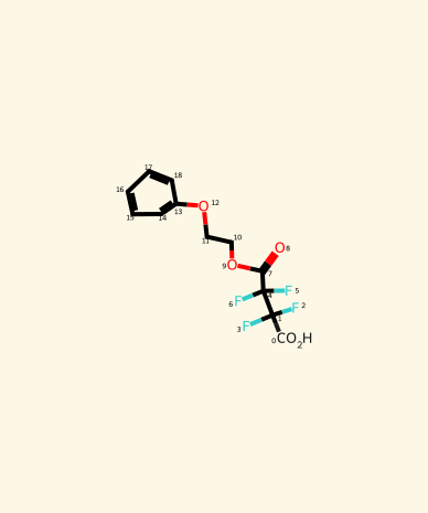 O=C(O)C(F)(F)C(F)(F)C(=O)OCCOc1ccccc1